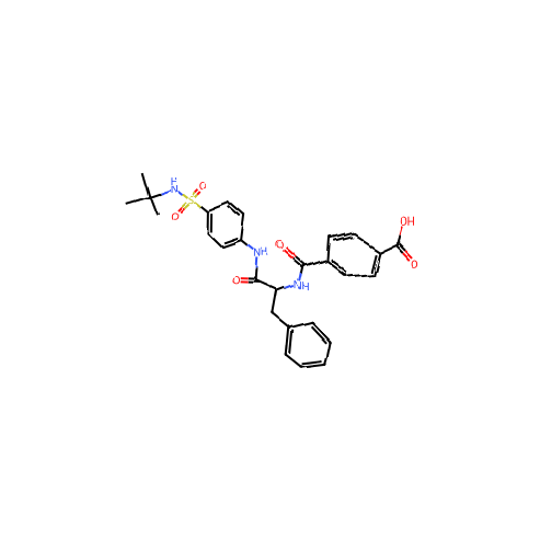 CC(C)(C)NS(=O)(=O)c1ccc(NC(=O)C(Cc2ccccc2)NC(=O)c2ccc(C(=O)O)cc2)cc1